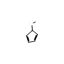 C[CH2][Mn][CH]1C=CC=C1